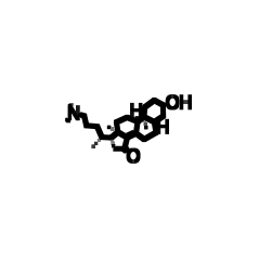 C[C@H](CCCN(C)C)[C@H]1CC(=O)C2=C3CC[C@H]4C[C@@H](O)CC[C@]4(C)[C@H]3CC[C@@]21C